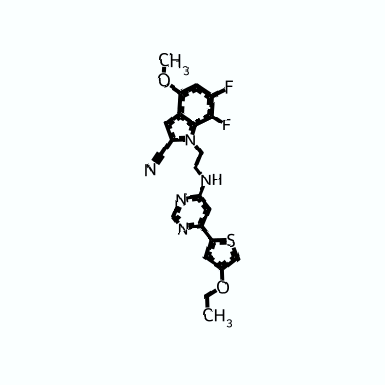 CCOc1csc(-c2cc(NCCn3c(C#N)cc4c(OC)cc(F)c(F)c43)ncn2)c1